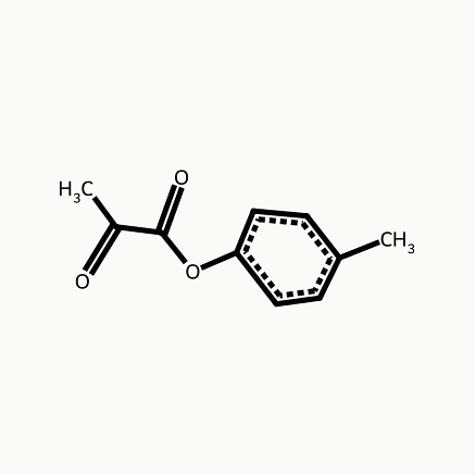 CC(=O)C(=O)Oc1ccc(C)cc1